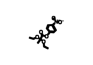 CCOC(C)(OCC)C(=O)Oc1ccc([N+](=O)[O-])cc1